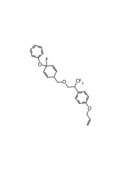 C=CCOc1ccc(C(COCC2C=CC(F)(Oc3ccccc3)C=C2)C(F)(F)F)cc1